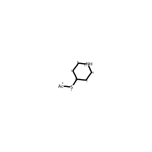 CC(=O)SC1CCNCC1